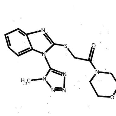 Cn1nnnc1-n1c(SCC(=O)N2CCOCC2)nc2ccccc21